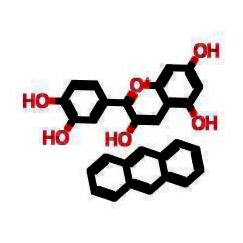 Oc1cc(O)c2cc(O)c(-c3ccc(O)c(O)c3)[o+]c2c1.c1ccc2cc3ccccc3cc2c1